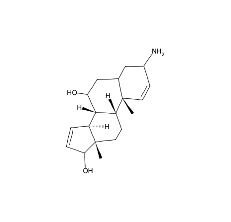 C[C@]12C=CC(N)CC1CC(O)[C@@H]1[C@H]2CC[C@]2(C)C(O)C=C[C@@H]12